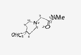 CNC(=O)CN1CCC(C=O)CC1